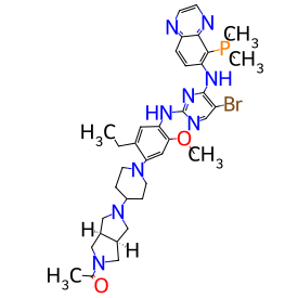 CCc1cc(Nc2ncc(Br)c(Nc3ccc4nccnc4c3P(C)C)n2)c(OC)cc1N1CCC(N2C[C@H]3CN(C(C)=O)C[C@H]3C2)CC1